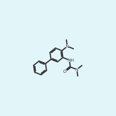 CN(C)C(=O)Nc1cc(-c2ccccc2)ccc1N(C)C